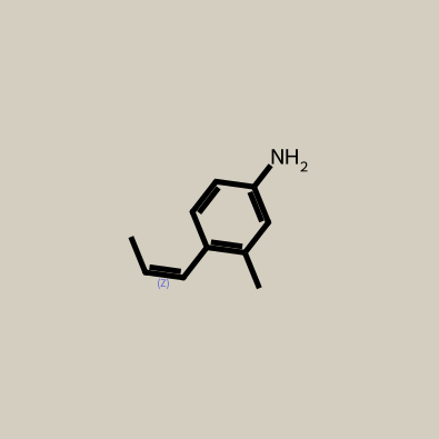 C/C=C\c1ccc(N)cc1C